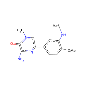 COc1ccc(-c2cn(C)c(=O)c(N)n2)cc1NSC